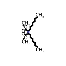 CCCCCCCC/C(C(=O)OCC)=C(\CCCCCCCC)C(=O)OCC